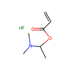 C=CC(=O)OC(C)N(C)C.F